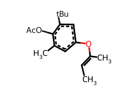 CC=C(C)Oc1cc(C)c(OC(C)=O)c(C(C)(C)C)c1